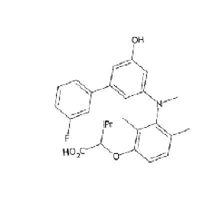 Cc1ccc(OC(C(=O)O)C(C)C)c(C)c1N(C)c1cc(O)cc(-c2cccc(F)c2)c1